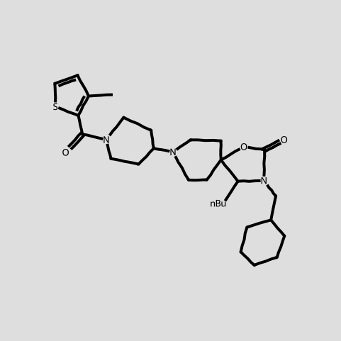 CCCCC1N(CC2CCCCC2)C(=O)OC12CCN(C1CCN(C(=O)c3sccc3C)CC1)CC2